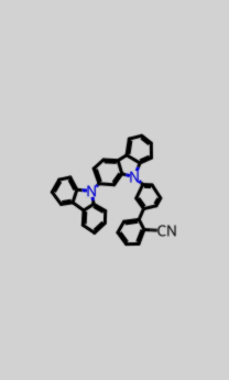 N#Cc1ccccc1-c1cccc(-n2c3ccccc3c3ccc(-n4c5ccccc5c5ccccc54)cc32)c1